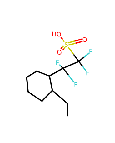 CCC1CCCCC1C(F)(F)C(F)(F)S(=O)(=O)O